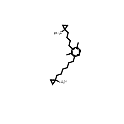 Cc1ccc(CCCCCCC2(C(=O)O)CC2)c(C)c1CCCCC1(C(=O)O)CC1